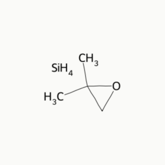 CC1(C)CO1.[SiH4]